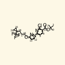 CC(C)(C)OC(=O)c1ccc(-n2ccc(OCCCC3(C(F)(F)F)CC3)n2)nc1Cl